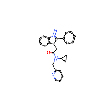 O=C(Cc1c(-c2ccccc2)[nH]c2ccccc12)N(Cc1ccccn1)C1CC1